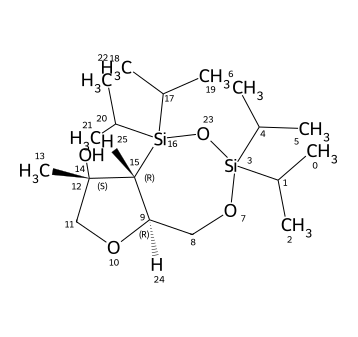 CC(C)[Si]1(C(C)C)OC[C@H]2OC[C@](C)(O)[C@@H]2[Si](C(C)C)(C(C)C)O1